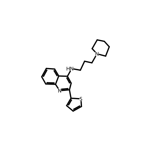 c1csc(-c2cc(NCCCN3CCCCC3)c3ccccc3n2)c1